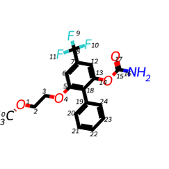 COCCOc1cc(C(F)(F)F)cc(OC(N)=O)c1-c1ccccc1